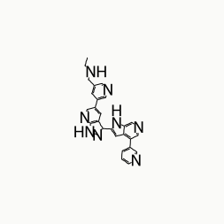 CCNCc1cncc(-c2cnc3[nH]nc(-c4cc5c(-c6cccnc6)cncc5[nH]4)c3c2)c1